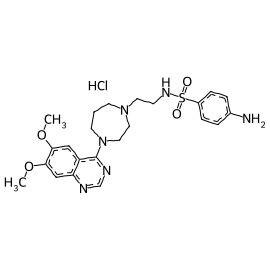 COc1cc2ncnc(N3CCCN(CCNS(=O)(=O)c4ccc(N)cc4)CC3)c2cc1OC.Cl